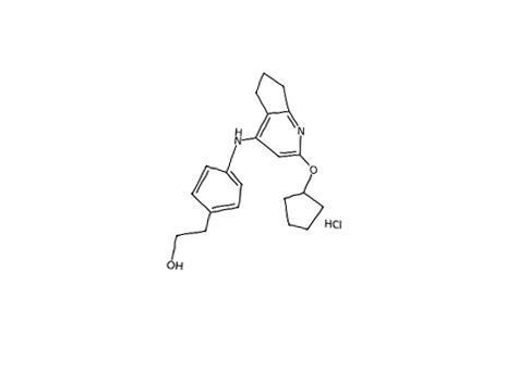 Cl.OCCc1ccc(Nc2cc(OC3CCCC3)nc3c2CCC3)cc1